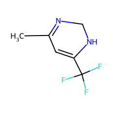 CC1=NCNC(C(F)(F)F)=C1